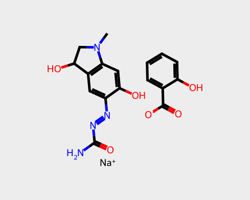 CN1CC(O)c2cc(N=NC(N)=O)c(O)cc21.O=C([O-])c1ccccc1O.[Na+]